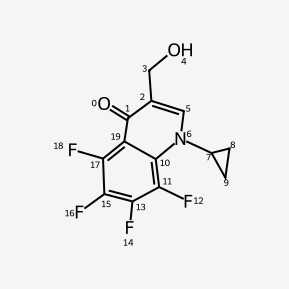 O=c1c(CO)cn(C2CC2)c2c(F)c(F)c(F)c(F)c12